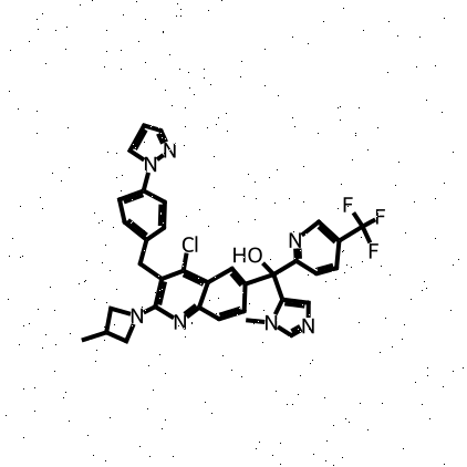 CC1CN(c2nc3ccc(C(O)(c4ccc(C(F)(F)F)cn4)c4cncn4C)cc3c(Cl)c2Cc2ccc(-n3cccn3)cc2)C1